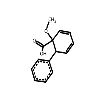 COC1(C(=O)O)C=CC=CC1c1ccccc1